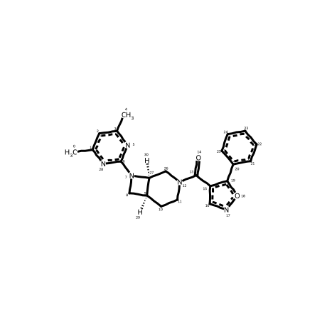 Cc1cc(C)nc(N2C[C@@H]3CCN(C(=O)c4cnoc4-c4ccccc4)C[C@@H]32)n1